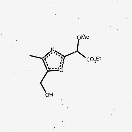 CCOC(=O)C(OC)c1nc(C)c(CO)o1